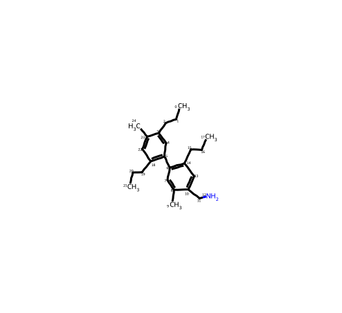 CCCc1cc(-c2cc(C)c(CN)cc2CCC)c(CCC)cc1C